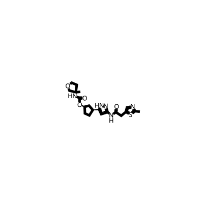 Cc1ncc(CC(=O)Nc2cc([C@H]3CC[C@@H](OC(=O)NC4(C)CCOC4)C3)[nH]n2)s1